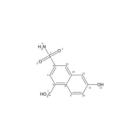 NS(=O)(=O)c1cc(C(=O)O)c2ccc(O)cc2c1